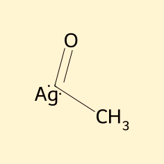 C[C]=O.[Ag]